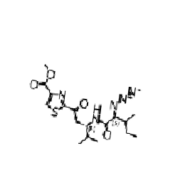 CCC(C)[C@H](N=[N+]=[N-])C(=O)N[C@H](CC(=O)c1nc(C(=O)OC)cs1)C(C)C